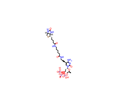 C=C(COP(=O)(O)OP(=O)(O)OP(=O)(O)O)O[C@H](CCO)n1cc(C#CCNC(=O)CCCCCNC(=O)CCCC[C@@H]2SC[C@@H]3NC(=O)N[C@@H]32)c(N)nc1=O